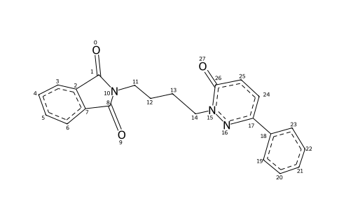 O=C1c2ccccc2C(=O)N1CCCCn1nc(-c2ccccc2)ccc1=O